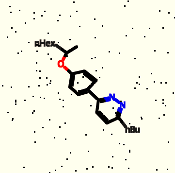 CCCCCCC(C)Oc1ccc(-c2ccc(CCCC)nn2)cc1